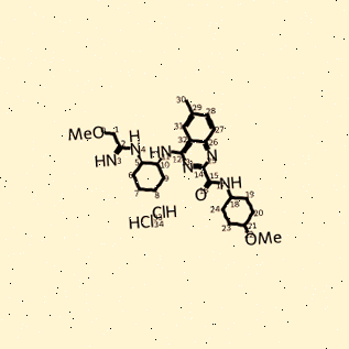 COCC(=N)N[C@@H]1CCCC[C@@H]1Nc1nc(C(=O)NC2CCC(OC)CC2)nc2ccc(C)cc12.Cl.Cl